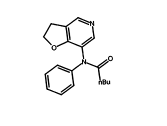 CCCCC(=O)N(c1ccccc1)c1cncc2c1OCC2